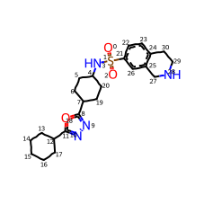 O=S(=O)(NC1CCC(c2nnc(C3CCCCC3)o2)CC1)c1ccc2c(c1)CNCC2